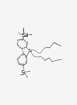 CCCCCC[Si]1(CCCCCC)c2cc([Si](C)(C)C)ccc2-c2ccc([Si](C)(C)C)cc21